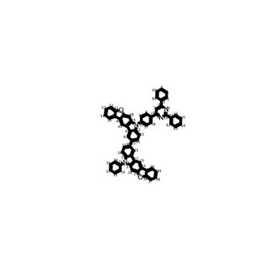 c1ccc(-c2cc(-c3ccc(-n4c5ccc(-c6ccc7c(c6)c6cc8c(cc6n7-c6ccccc6)oc6ccccc68)cc5c5cc6c(cc54)oc4ccccc46)cc3)nc(-c3ccccc3)n2)cc1